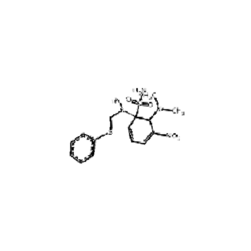 CCCN(CSc1ccccc1)C1(S(N)(=O)=O)C=CC=C([N+](=O)[O-])C1N(C)C